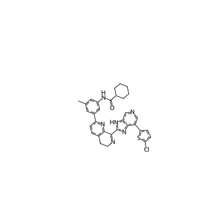 Cc1cc(NC(=O)C2CCCCC2)cc(-c2ccc3c(n2)C(c2nc4c(-c5ccc(Cl)s5)cncc4[nH]2)=NCC3)c1